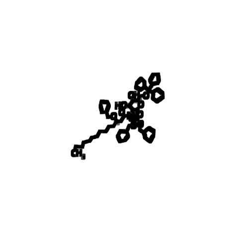 CCCCCCCCCCC[C@H](CC(=O)N[C@H]1[C@@H](OP(=O)(OCc2ccccc2)OCc2ccccc2)O[C@H](COC(c2ccccc2)(c2ccccc2)c2ccccc2)[C@@H](O)[C@@H]1O)OCc1ccccc1